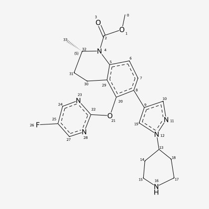 COC(=O)N1c2ccc(-c3cnn(C4CCNCC4)c3)c(Oc3ncc(F)cn3)c2CC[C@@H]1C